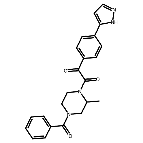 CC1CN(C(=O)c2ccccc2)CCN1C(=O)C(=O)c1ccc(-c2ccn[nH]2)cc1